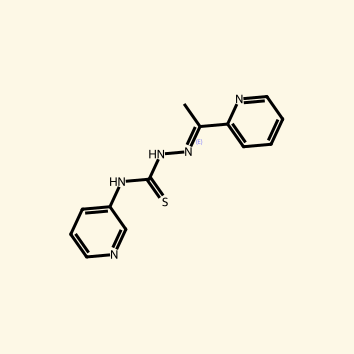 C/C(=N\NC(=S)Nc1cccnc1)c1ccccn1